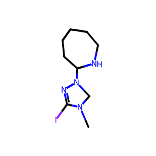 CN1CN(C2CCCCCN2)N=C1I